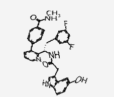 CNC(=O)c1ccc(-c2cccnc2[C@H](Cc2cc(F)cc(F)c2)NC(=O)Cc2c[nH]c3ccc(O)cc23)cc1